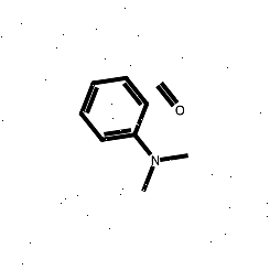 C=O.CN(C)c1ccccc1